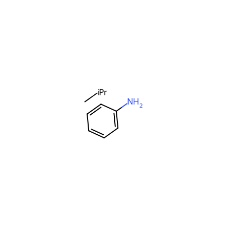 CC(C)C.Nc1ccccc1